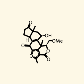 COC[C@H]1OC(=O)c2c(C)oc3c2C1(C)C1=C(C3=O)[C@@H]2CCC(=O)C2(C)C[C@H]1O